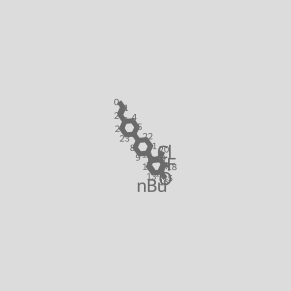 C/C=C/C1CCC(C2CCC(c3ccc(OCCCC)c(F)c3Cl)CC2)CC1